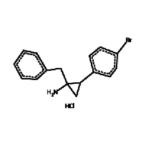 Cl.NC1(Cc2ccccc2)CC1c1ccc(Br)cc1